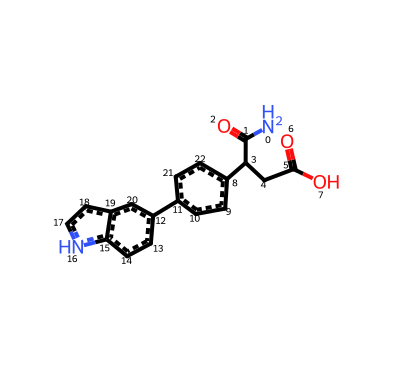 NC(=O)C(CC(=O)O)c1ccc(-c2ccc3[nH]ccc3c2)cc1